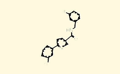 O=C(NCc1cccc(F)c1)c1ccc(-c2cccc(F)c2)nc1